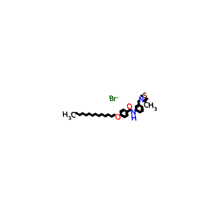 CCCCCCCCCCCCCCOc1ccc(C(=O)Nc2cccc(C[n+]3cscc3C)c2)cc1.[Br-]